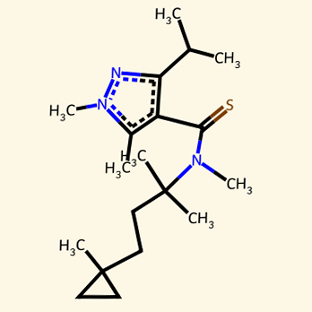 Cc1c(C(=S)N(C)C(C)(C)CCC2(C)CC2)c(C(C)C)nn1C